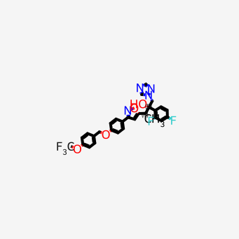 C[C@@H](c1cc(-c2ccc(OCc3ccc(OC(F)(F)F)cc3)cc2)no1)[C@](O)(Cn1cncn1)c1ccc(F)cc1F